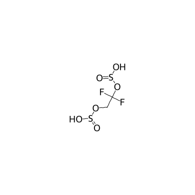 O=S(O)OCC(F)(F)OS(=O)O